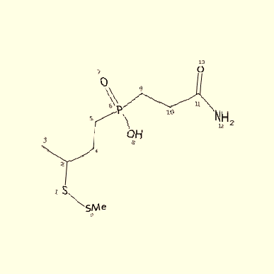 CSSC(C)CCP(=O)(O)CCC(N)=O